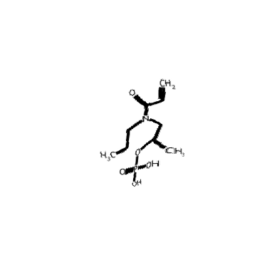 C=CC(=O)N(CCC)CC(C)OP(=O)(O)O